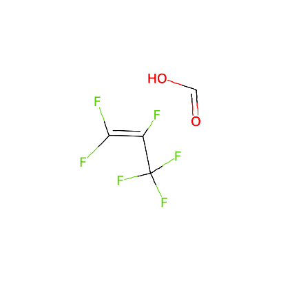 FC(F)=C(F)C(F)(F)F.O=CO